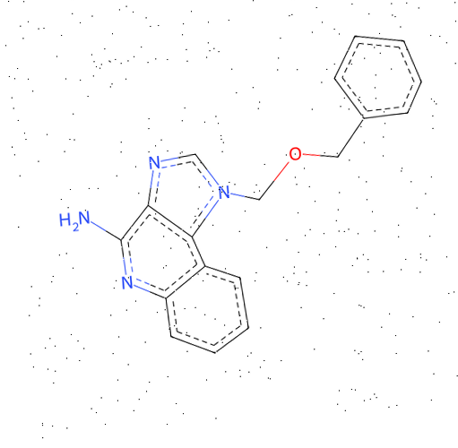 Nc1nc2ccccc2c2c1ncn2COCc1ccccc1